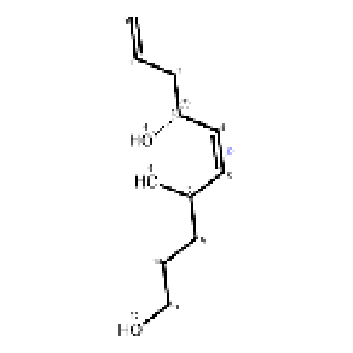 C=CC[C@@H](O)/C=C\C(O)CCCO